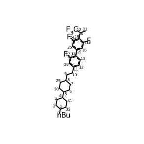 CCCCC1CCC(C2CCC(CCc3ccc(-c4cc(F)c(C(C)C(F)(F)F)c(F)c4)c(F)c3)CC2)CC1